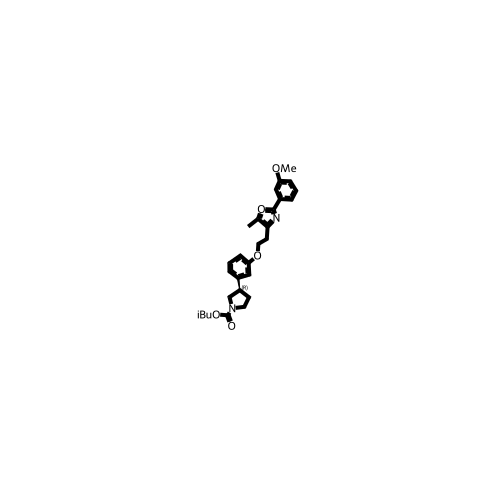 COc1cccc(-c2nc(CCOc3cccc([C@H]4CCN(C(=O)OCC(C)C)C4)c3)c(C)o2)c1